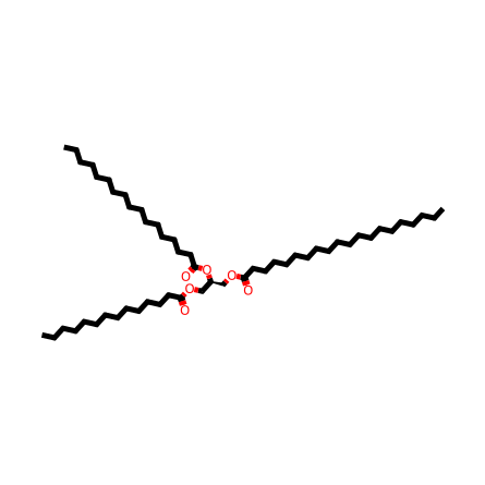 CCCCCCCCCCCCCCCCCCCC(=O)OC[C@@H](COC(=O)CCCCCCCCCCCCC)OC(=O)CCCCCCCCCCCCCCCC